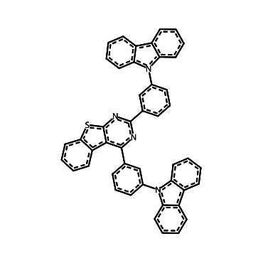 c1cc(-c2nc(-c3cccc(-n4c5ccccc5c5ccccc54)c3)c3c(n2)sc2ccccc23)cc(-n2c3ccccc3c3ccccc32)c1